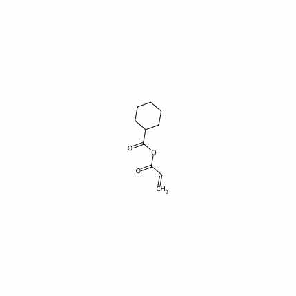 C=CC(=O)OC(=O)C1CCCCC1